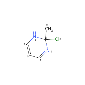 CC1(Cl)N=CC=CN1